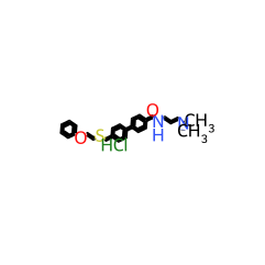 CN(C)CCCNC(=O)c1ccc(-c2ccc(CSCCOc3ccccc3)cc2)cc1.Cl